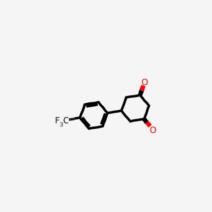 O=C1CC(=O)CC(c2ccc(C(F)(F)F)cc2)C1